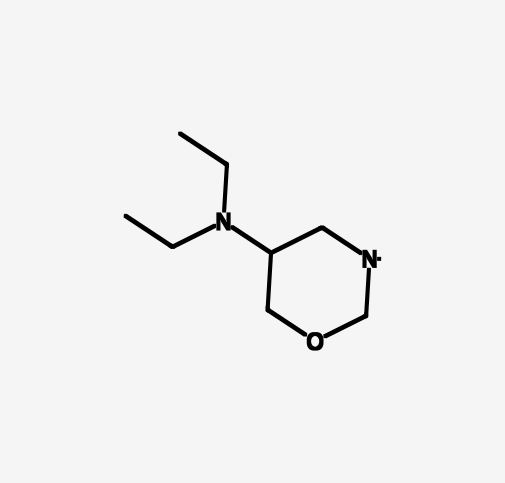 CCN(CC)C1C[N]COC1